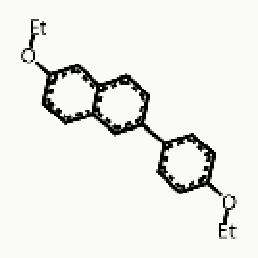 CCOc1ccc(-c2ccc3cc(OCC)ccc3c2)cc1